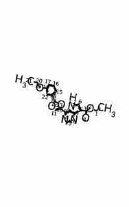 CCOC(=O)c1c[nH]c2c(C3=COC(c4cccc(OCC)c4)O3)ncnc12